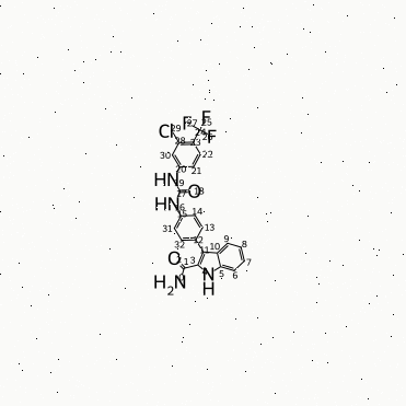 NC(=O)c1[nH]c2ccccc2c1-c1ccc(NC(=O)Nc2ccc(C(F)(F)F)c(Cl)c2)cc1